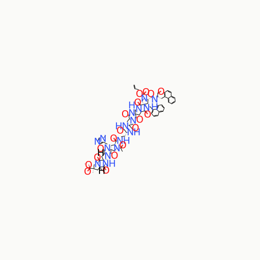 C=CCOC(=O)N1C[C@@]2(C[C@H]1C(=O)N[C@H](C=O)Cc1cccc3ccccc13)C(=O)N1C[C@]3(CC1C(=O)N2Cc1cccc2ccccc12)NC(=O)C1C[C@@]2(CN1C3=O)NC(=O)[C@@H](CCNC(=O)[C@@H]1C[C@]3(CN1C(C)=O)C(=O)N1C[C@]4(C[C@H]1C(=O)N3Cc1cncn1C)NC(=O)[C@@H]1C[C@@](C)(C(=O)OC)CN1C4=O)NC2=O